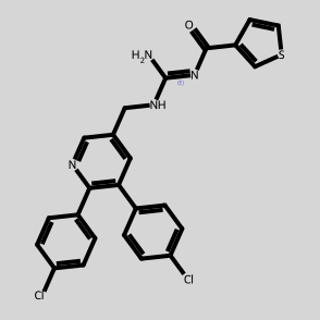 N/C(=N\C(=O)c1ccsc1)NCc1cnc(-c2ccc(Cl)cc2)c(-c2ccc(Cl)cc2)c1